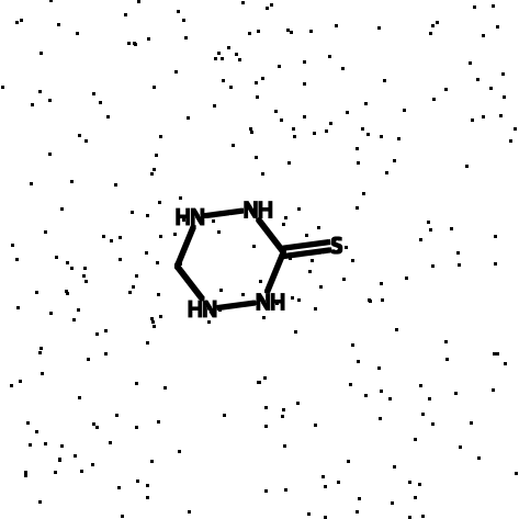 S=C1NNCNN1